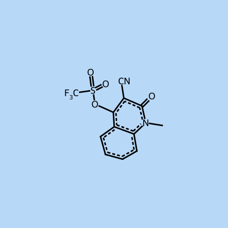 Cn1c(=O)c(C#N)c(OS(=O)(=O)C(F)(F)F)c2ccccc21